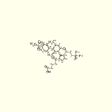 Cc1cc(OC(CCC(F)(F)F)c2ccc(C(=O)CCCC(=O)O)s2)cc(C)c1-c1ccc(C(C)(C)C)cc1